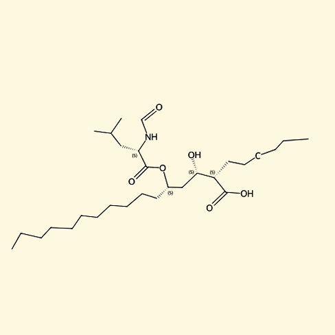 CCCCCCCCCCC[C@@H](C[C@H](O)[C@H](CCCCCC)C(=O)O)OC(=O)[C@H](CC(C)C)NC=O